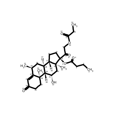 CCCC(=O)O[C@]1(C(=O)COC(=O)CC)CC[C@H]2[C@@H]3C[C@H](C)C4=CC(=O)CC[C@]4(C)[C@H]3[C@@H](O)C[C@@]21C